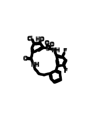 O=C1NCCCc2ccccc2-c2cc(c(F)cc2F)NS(=O)(=O)c2cc1cc(Cl)c2O